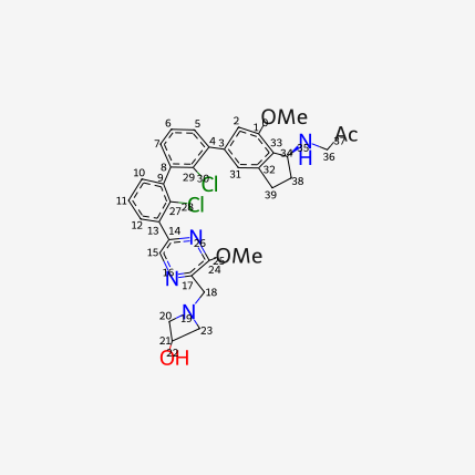 COc1cc(-c2cccc(-c3cccc(-c4cnc(CN5CC(O)C5)c(OC)n4)c3Cl)c2Cl)cc2c1[C@@H](NCC(C)=O)CC2